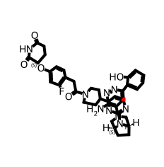 Nc1nnc(-c2ccccc2O)cc1N1C[C@H]2CC[C@@H](C1)N2c1nccc(C2CCN(C(=O)Cc3ccc(O[C@H]4CCC(=O)NC4=O)cc3F)CC2)n1